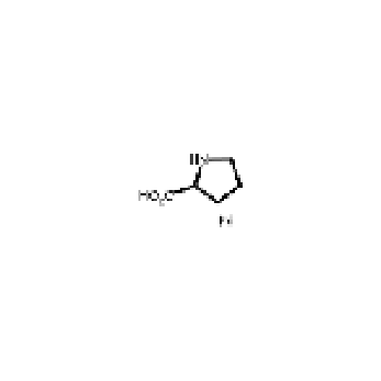 O=C(O)C1CCCN1.[Pd]